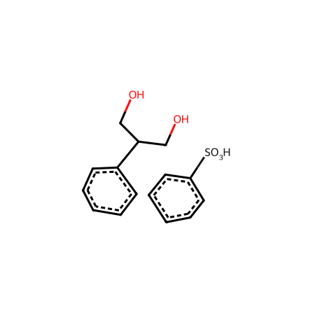 O=S(=O)(O)c1ccccc1.OCC(CO)c1ccccc1